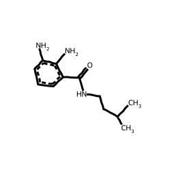 CC(C)CCNC(=O)c1cccc(N)c1N